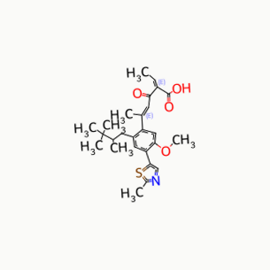 C/C=C(/C(=O)O)C(=O)/C=C(\C)c1cc(OC)c(-c2cnc(C)s2)cc1CC(C)C(C)(C)C